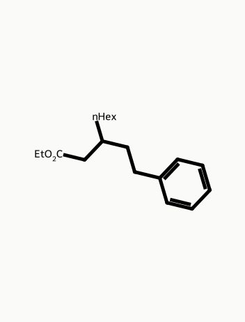 CCCCCCC(CCc1ccccc1)CC(=O)OCC